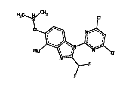 C[SiH](C)Oc1ccc2c(nc(C(F)F)n2-c2nc(Cl)cc(Cl)n2)c1C(C)(C)C